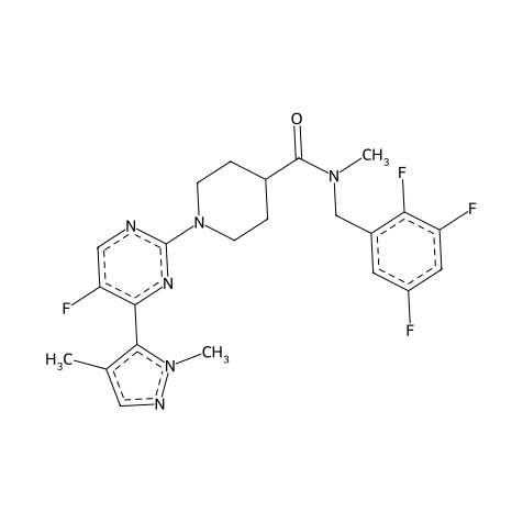 Cc1cnn(C)c1-c1nc(N2CCC(C(=O)N(C)Cc3cc(F)cc(F)c3F)CC2)ncc1F